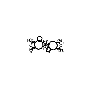 CC12CCC(C)(C(C(F)(F)F)(C(F)(F)F)C3(C)CCC4(C)CC(C)(C(=O)OC4=O)C4=C(CCC4)C3)C3=C(CCC3)CC(C)(C1)C(=O)OC2=O